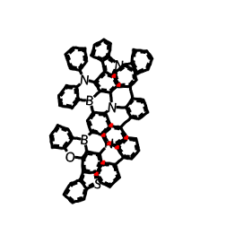 c1ccc(-c2ccccc2N2c3cc4c(cc3B3c5ccccc5Oc5c3c2cc2sc3ccccc3c52)B2c3ccccc3N(c3ccccc3)c3c2c(cc2c3c3ccccc3n2-c2ccccc2)N4c2c(-c3ccccc3)cccc2-c2ccccc2)cc1